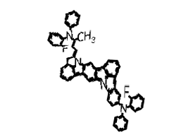 C/C(=C\C=C1/Cc2cccc3c4cc5c(cc4n1c23)c1cccc2c3cc(N(c4ccccc4)c4ccccc4F)ccc3n5c21)N(c1ccccc1)c1ccccc1F